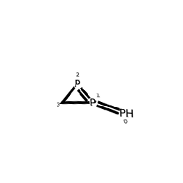 P=P1=PC1